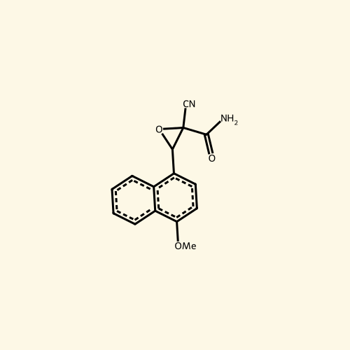 COc1ccc(C2OC2(C#N)C(N)=O)c2ccccc12